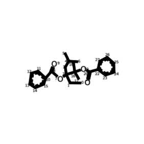 CCC(CC(C)C)(OC(=O)c1ccccc1)C(C)(C)OC(=O)c1ccccc1